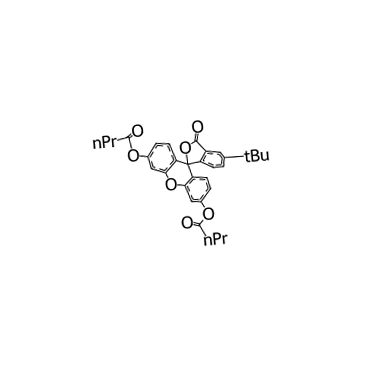 CCCC(=O)Oc1ccc2c(c1)Oc1cc(OC(=O)CCC)ccc1C21OC(=O)c2cc(C(C)(C)C)ccc21